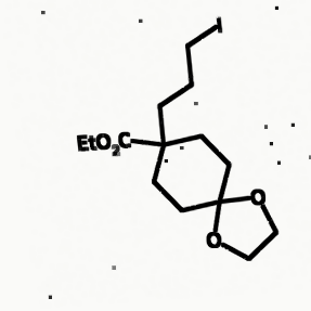 CCOC(=O)C1(CCCI)CCC2(CC1)OCCO2